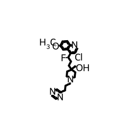 COc1ccc2ncc(Cl)c([C@H](F)CCC3(CO)CCN(CCCc4cnccn4)CC3)c2c1